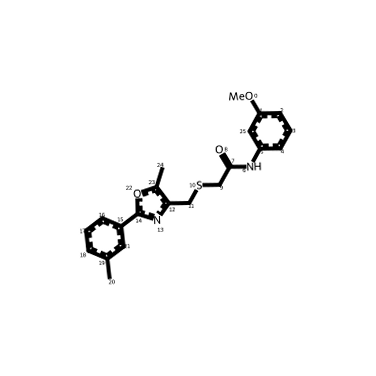 COc1cccc(NC(=O)CSCc2nc(-c3cccc(C)c3)oc2C)c1